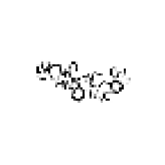 Cc1cccc(C)c1C1CCN(Cc2c(C(=O)N3CCC4(CC3)OCCO4)[nH]c3ccccc23)CC1